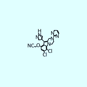 N#CCOc1cc(Cl)c(Cl)c2c1c(-c1cn[nH]c1)c1n2CCN(c2ncccn2)C1